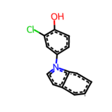 Oc1ccc(-n2ccc3c[c]ccc32)cc1Cl